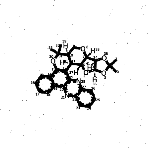 CC1(C)O[C@H]2O[C@H]3[C@H](OC[C@H]4[C@@H]3c3c(c5ccccc5c5nc6ccccc6nc35)OC4(C)C)[C@H]2O1